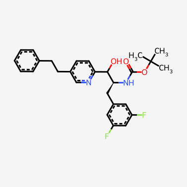 CC(C)(C)OC(=O)N[C@@H](Cc1cc(F)cc(F)c1)C(O)c1ccc(CCc2ccccc2)cn1